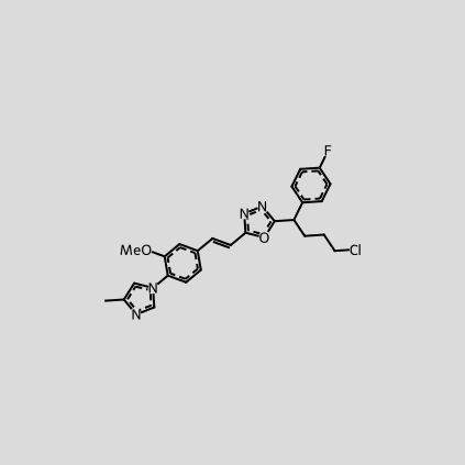 COc1cc(C=Cc2nnc(C(CCCCl)c3ccc(F)cc3)o2)ccc1-n1cnc(C)c1